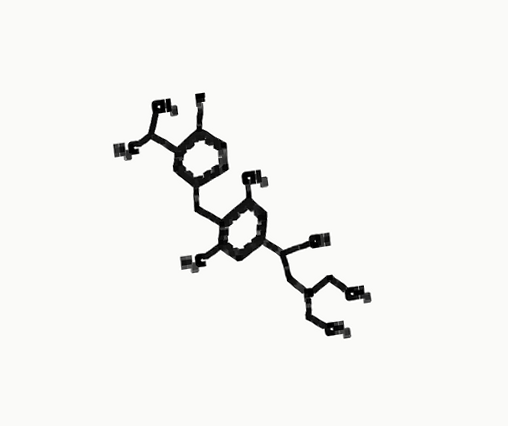 CCP(CC)CC(O)c1cc(C)c(Cc2ccc(F)c(C(C)C)c2)c(C)c1